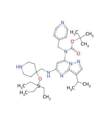 CC[Si](CC)(CC)OC1(CNc2cc(N(Cc3ccncc3)C(=O)OC(C)(C)C)n3ncc(C(C)C)c3n2)CCNCC1